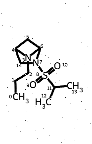 CCCN1C2CC1N(S(=O)(=O)C(C)C)C2